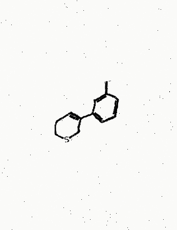 [CH2]c1cccc(C2=CCCSC2)c1